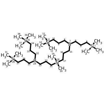 C[Si](C)(C)CCCB(CCC[Si](C)(C)C)CCC[Si](C)(C)CCCB(CCC[Si](C)(C)C)CCC[Si](C)(C)C